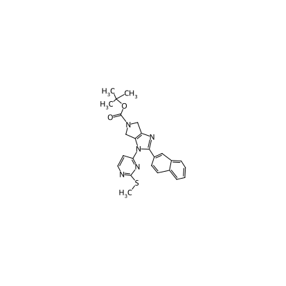 CSc1nccc(-n2c(-c3ccc4ccccc4c3)nc3c2CN(C(=O)OC(C)(C)C)C3)n1